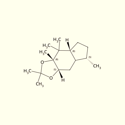 C[C@H]1CC[C@@H]2C1C[C@@H]1OC(C)(C)O[C@]1(C)C2(C)C